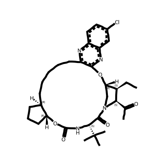 CC[C@@H]1[C@@H]2CN(C(=O)[C@H](C(C)(C)C)NC(=O)O[C@@H]3CCC[C@H]3CCCCCc3nc4ccc(Cl)cc4nc3O2)[C@@H]1C(C)=O